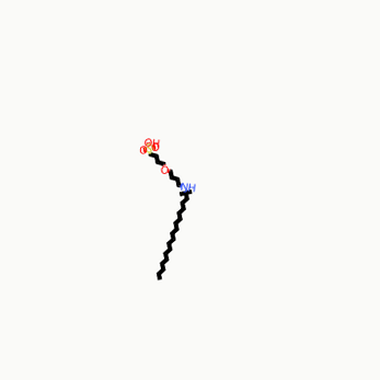 CCCCCCCCCCCCCCCCCC(C)(C)NCCCCOCCCCS(=O)(=O)O